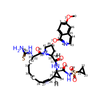 COc1ccc2c(O[C@@H]3C[C@H]4C(=O)N[C@]5(C(=O)NS(=O)(=O)C6CC6)C[C@H]5/C=C\CCCCC[C@H](NC(N)=S)C(=O)N4C3)nccc2c1